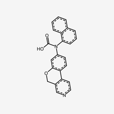 O=C(O)N(c1ccc2c(c1)OCc1cnccc1-2)c1cccc2ccccc12